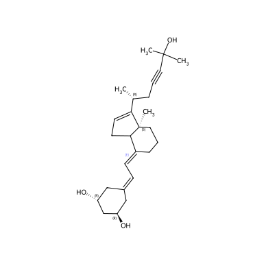 C[C@H](CC#CC(C)(C)O)C1=CCC2/C(=C/C=C3C[C@@H](O)C[C@H](O)C3)CCC[C@]12C